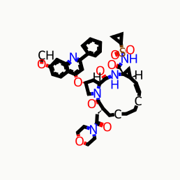 COc1ccc2c(O[C@@H]3C[C@H]4C(=O)N[C@]5(C(=O)NS(=O)(=O)C6CC6)C[C@H]5C=CCCCCC[C@H](CC(=O)N5CCOCC5)C(=O)N4C3)cc(-c3ccccc3)nc2c1